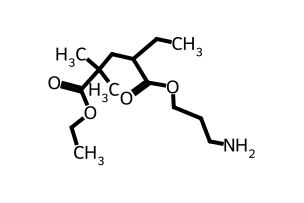 CCOC(=O)C(C)(C)CC(CC)C(=O)OCCCN